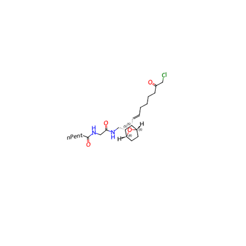 CCCCCC(=O)NCC(=O)NC[C@@H]1[C@H](C=CCCCCC(=O)CCl)[C@@H]2CC[C@H]1O2